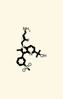 Cc1c(-c2cccc(S(C)(=O)=O)c2)c2nc(C(C)(C)O)ccc2n1C/C(F)=C/CN